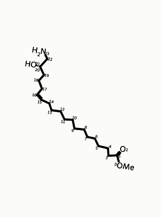 COC(=O)CCCCCCCCCCCC/C=C\CCC[C@H](O)CN